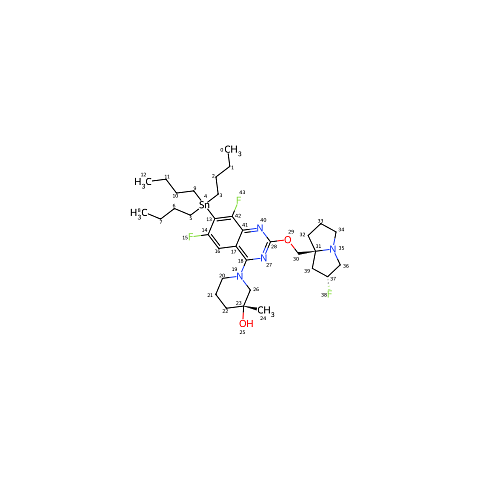 CCC[CH2][Sn]([CH2]CCC)([CH2]CCC)[c]1c(F)cc2c(N3CCC[C@@](C)(O)C3)nc(OC[C@@]34CCCN3C[C@H](F)C4)nc2c1F